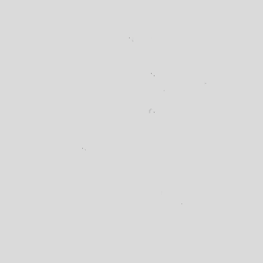 Cl.Cl.O=C(Nc1ccc(OC(F)(F)F)cc1)N1CCNCC1COc1cccnc1